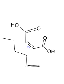 C=CCCCC.O=C(O)/C=C\C(=O)O